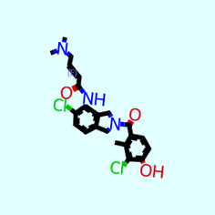 Cc1c(C(=O)N2Cc3ccc(Cl)c(NC(=O)/C=C/CN(C)C)c3C2)ccc(O)c1Cl